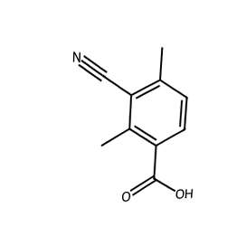 Cc1ccc(C(=O)O)c(C)c1C#N